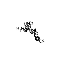 CCNc1nc(N2CCN(C(=O)Cc3ccc(C#N)cc3)C3(CC3)C2)c2ccn(N)c2n1